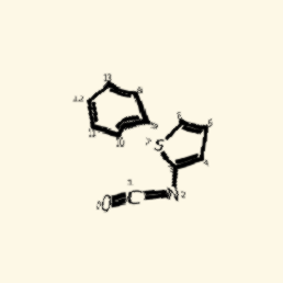 O=C=Nc1cccs1.c1ccccc1